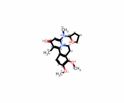 COc1ccc2c(c1OC)CCn1c(N(C)C3CCCO3)cc(=O)c(C)c1-2